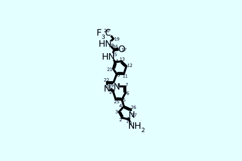 Nc1ccc(-c2ccn3c(-c4cccc(NC(=O)NCC(F)(F)F)c4)cnc3c2)cn1